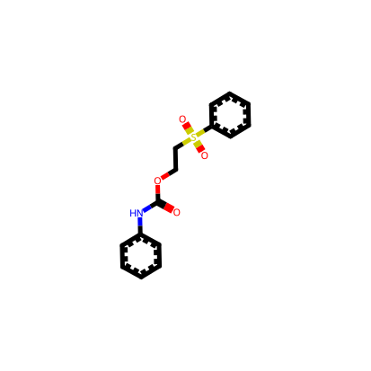 O=C(Nc1ccccc1)OCCS(=O)(=O)c1ccccc1